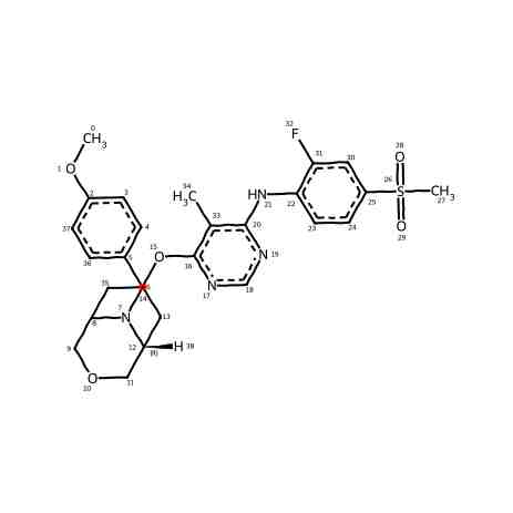 COc1ccc(CN2C3COC[C@H]2CC(Oc2ncnc(Nc4ccc(S(C)(=O)=O)cc4F)c2C)C3)cc1